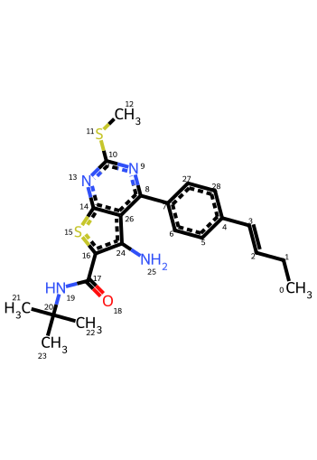 CCC=Cc1ccc(-c2nc(SC)nc3sc(C(=O)NC(C)(C)C)c(N)c23)cc1